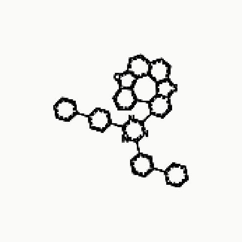 c1ccc(-c2ccc(-c3nc(-c4cccc(-c5ccccc5)c4)nc(-c4ccc5sc6ccc7ccc8oc9cccc%10c9c8c7c6c5c4-%10)n3)cc2)cc1